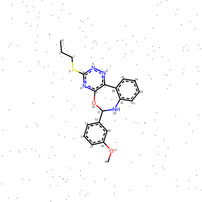 CCCSc1nnc2c(n1)OC(c1cccc(OC)c1)Nc1ccccc1-2